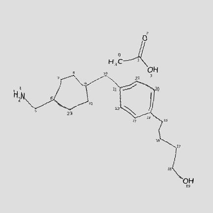 CC(=O)O.NCC1CCC(Cc2ccc(CCCCO)cc2)CC1